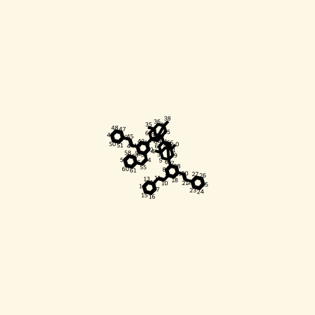 CC12CC3(C)CC(c4cc(C=Cc5ccccc5)cc(C=Cc5ccccc5)c4)(C1)CC(C14CC5(C)CC(C)(CC(c6cc(C=Cc7ccccc7)cc(C=Cc7ccccc7)c6)(C5)C1)C4)(C2)C3